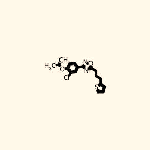 CC(C)Oc1ccc(-c2noc(CCCc3cccs3)n2)cc1Cl